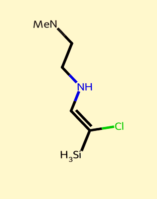 CNCCNC=C([SiH3])Cl